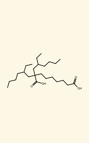 CCCCC(CC)CC(CCCCCCC(=O)O)(CC(CC)CCCC)C(=O)O